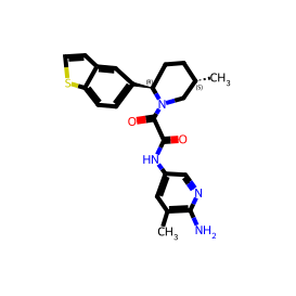 Cc1cc(NC(=O)C(=O)N2C[C@@H](C)CC[C@@H]2c2ccc3sccc3c2)cnc1N